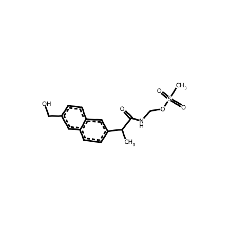 CC(C(=O)NCOS(C)(=O)=O)c1ccc2cc(CO)ccc2c1